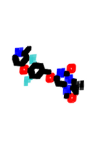 Cc1cc(Oc2c(F)cc(COc3cc4n(c(=O)n3)C[C@@H]3COCN43)cc2F)ccn1